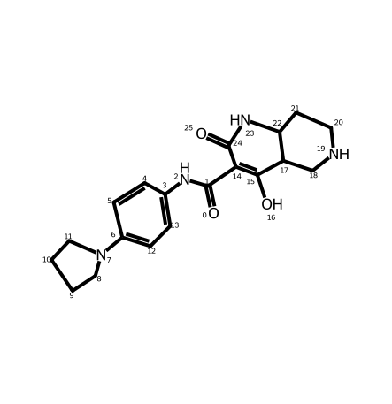 O=C(Nc1ccc(N2CCCC2)cc1)C1=C(O)C2CNCCC2NC1=O